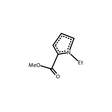 CCn1cccc1C(=O)OC